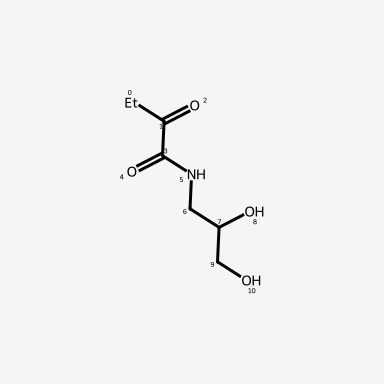 CCC(=O)C(=O)NCC(O)CO